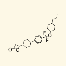 CCCC1CCC(OC(F)(F)c2ccc(C3CCC(C4CC(=O)O4)CC3)cc2)CC1